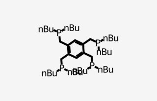 CCCCP(CCCC)Cc1cc(CP(CCCC)CCCC)c(CP(CCCC)CCCC)cc1CP(CCCC)CCCC